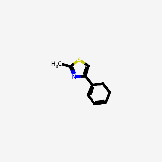 Cc1nc(C2=CC=CCC2)cs1